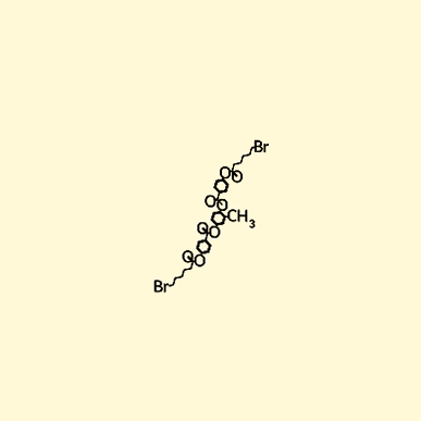 Cc1cc(OC(=O)c2ccc(OC(=O)CCCCCBr)cc2)ccc1OC(=O)c1ccc(OC(=O)CCCCCBr)cc1